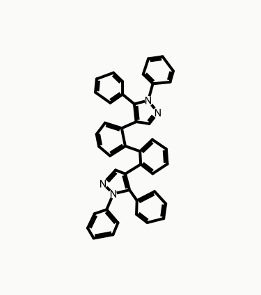 c1ccc(-c2c(-c3ccccc3-c3ccccc3-c3cnn(-c4ccccc4)c3-c3ccccc3)cnn2-c2ccccc2)cc1